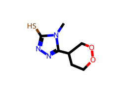 Cn1c(S)nnc1C1CCOOC1